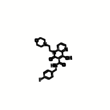 O=C(NCc1ccc(F)cc1)c1c(O)c2ncccc2n(CCN2CCOCC2)c1=O